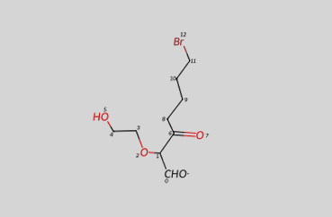 O=[C]C(OCCO)C(=O)CCCCBr